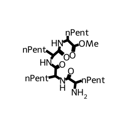 CCCCCC(N)C(=O)NC(CCCCC)C(=O)NC(CCCCC)C(=O)NC(CCCCC)C(=O)OC